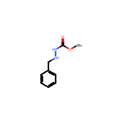 CC(C)(C)OC(=O)NNCc1ccccc1